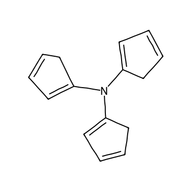 C1=CCC(N(C2=CC=CC2)C2=CC=CC2)=C1